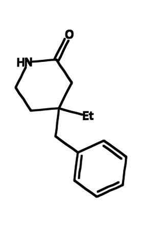 CCC1(Cc2ccccc2)CCNC(=O)C1